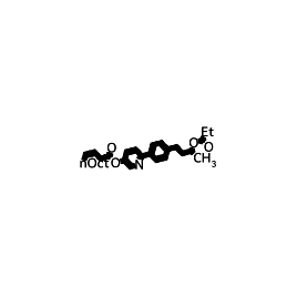 CCCCCCCC/C=C\CC(=O)Oc1ccc(-c2ccc(CCC(C)OC(=O)CC)cc2)nc1